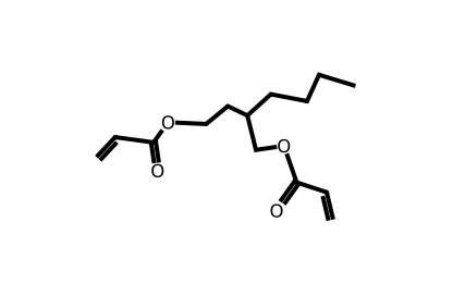 C=CC(=O)OCCC(CCCC)COC(=O)C=C